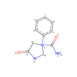 NC(=O)[N+]1(c2ccccc2)C[N]C(=O)C1